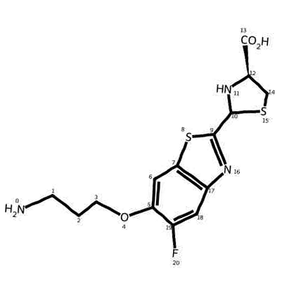 NCCCOc1cc2sc(C3N[C@@H](C(=O)O)CS3)nc2cc1F